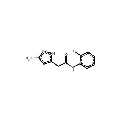 Nc1cc(CC(=O)Nc2ccccc2F)[nH]n1